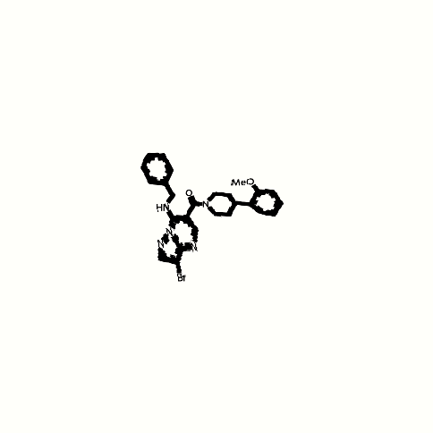 COc1ccccc1C1CCN(C(=O)c2cnc3c(Br)cnn3c2NCc2ccccc2)CC1